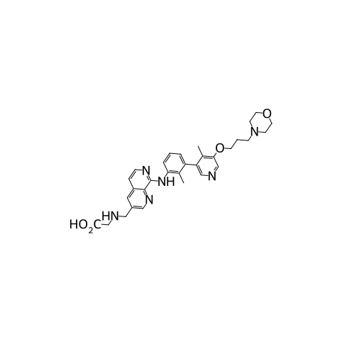 Cc1c(Nc2nccc3cc(CNCC(=O)O)cnc23)cccc1-c1cncc(OCCCN2CCOCC2)c1C